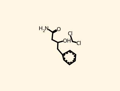 ClCCl.NC(=O)CC(O)Cc1ccccc1